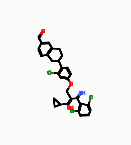 N=C(/C(COc1ccc(C2CCc3cc(C=O)ccc3C2)c(Cl)c1)=C(\O)C1CC1)c1c(Cl)cccc1Cl